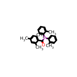 Cc1cc(C)c(C(=O)P(c2ccccc2C)c2ccccc2C)c(C)c1